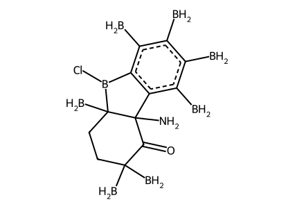 Bc1c(B)c(B)c2c(c1B)B(Cl)C1(B)CCC(B)(B)C(=O)C21N